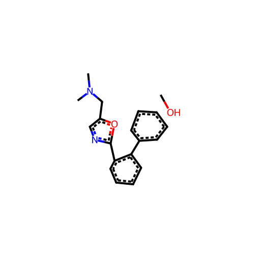 CN(C)Cc1cnc(-c2ccccc2-c2ccccc2)o1.CO